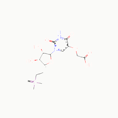 C=P(C)(C)CC[C@H]1OC(n2cc(OCC(=O)O)c(=O)[nH]c2=O)[C@H](O)[C@@H]1O